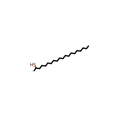 [CH2]C(S)CCCCCCCCCCCCCCCCCC